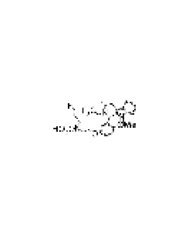 COc1ccc(OCCN(CCCF)C(=O)O)cc1[C@@H]1c2[nH]c3ccccc3c2C[C@@H](C)N1CC(F)(F)F